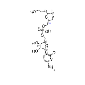 C[C@@H]1C=C/C(=C/OP(=O)(O)OC[C@H]2O[C@@H](n3ccc(N)nc3=O)C(O)[C@H]2O)OC1OCCO